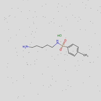 Cc1ccc(S(=O)(=O)NCCCCCN)cc1.Cl